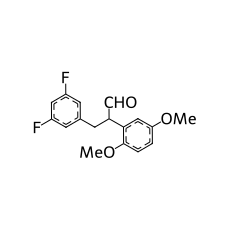 COc1ccc(OC)c(C(C=O)Cc2cc(F)cc(F)c2)c1